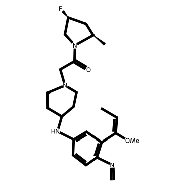 C=Nc1ccc(NC2CCN(CC(=O)N3C[C@@H](F)C[C@H]3C)CC2)cc1/C(=C\C)OC